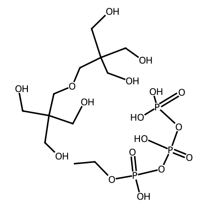 CCOP(=O)(O)OP(=O)(O)OP(=O)(O)O.OCC(CO)(CO)COCC(CO)(CO)CO